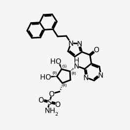 NS(=O)(=O)OC[C@H]1C[C@@H](Nc2ncncc2C(=O)c2ccn(CCc3cccc4ccccc34)n2)[C@H](O)[C@@H]1O